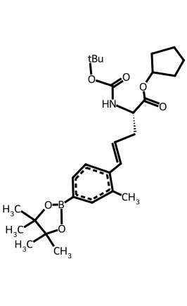 Cc1cc(B2OC(C)(C)C(C)(C)O2)ccc1/C=C/C[C@H](NC(=O)OC(C)(C)C)C(=O)OC1CCCC1